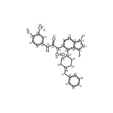 Cc1nn(C)c2ncc(N(C=O)C(=O)Nc3ccc(F)c(C(F)(F)F)c3)c(N3CCN(Cc4ccccc4)CC3)c12